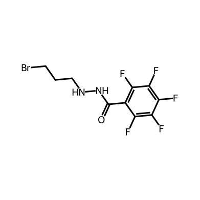 O=C(NNCCCBr)c1c(F)c(F)c(F)c(F)c1F